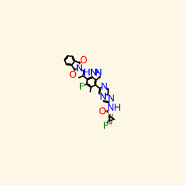 Cc1c(F)c(C(C)CN2C(=O)c3ccccc3C2=O)c2[nH]ncc2c1-c1cn2cc(NC(=O)[C@@H]3C[C@@H]3F)nc2cn1